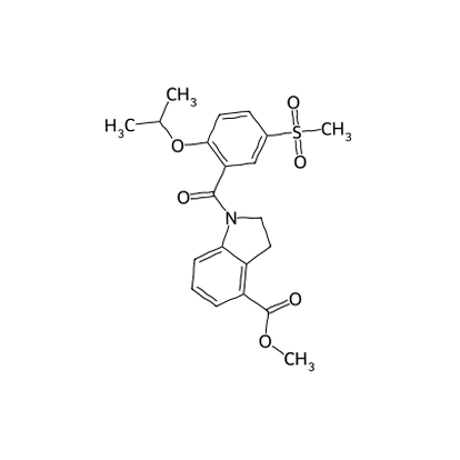 COC(=O)c1cccc2c1CCN2C(=O)c1cc(S(C)(=O)=O)ccc1OC(C)C